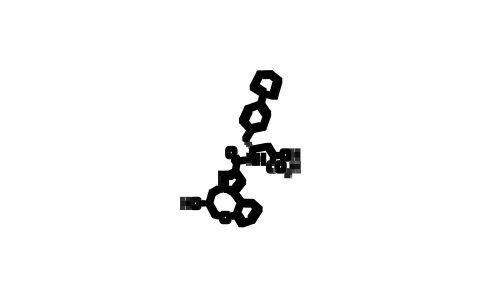 O=C(N[C@H](Cc1ccc(-c2ccccc2)cc1)C[C@@H](O)C(=O)O)c1cc2n(n1)C[C@H](O)COc1ccccc1-2